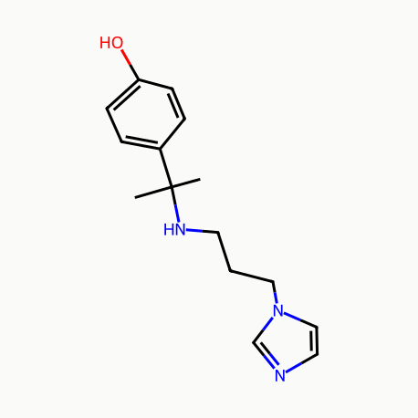 CC(C)(NCCCn1ccnc1)c1ccc(O)cc1